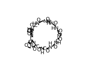 O=C1CNC(=O)CNC(=O)C2CCN2C(=O)CNC(=O)CNC(=O)CNC(=O)CC(C(=O)N2CCOCC2)NC(=O)CNC(=O)C2(CCCC2)NC(=O)CNC(=O)CN1